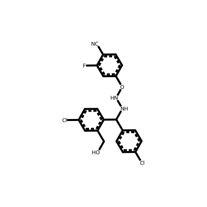 N#Cc1ccc(ONNC(c2ccc(Cl)cc2)c2ccc(Cl)cc2CO)cc1F